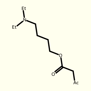 CCN(CC)CCCCOC(=O)CC(C)=O